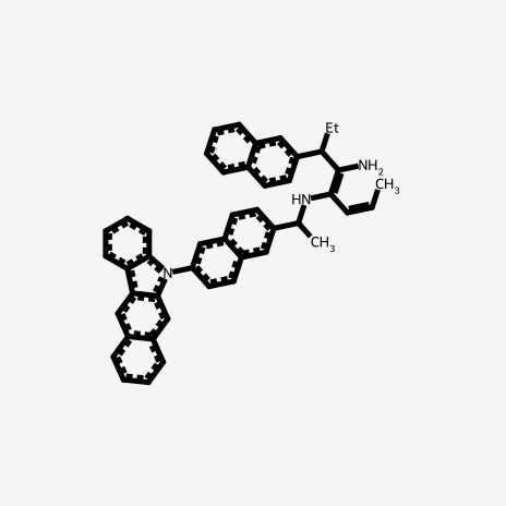 C/C=C\C(NC(C)c1ccc2cc(-n3c4ccccc4c4cc5ccccc5cc43)ccc2c1)=C(/N)C(CC)c1ccc2ccccc2c1